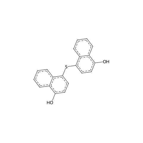 Oc1ccc(Sc2ccc(O)c3ccccc23)c2ccccc12